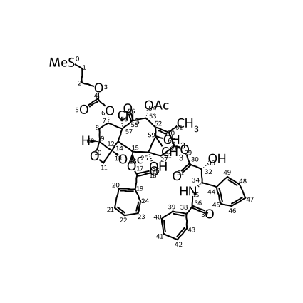 CSCCOC(=O)O[C@H]1C[C@H]2OC[C@@]2(OC(C)=O)C2[C@H](OC(=O)c3ccccc3)[C@]3(O)C[C@H](OC(=O)[C@H](O)[C@@H](NC(=O)c4ccccc4)c4ccccc4)C(C)=C([C@@H](OC(C)=O)C(=O)[C@@]21C)C3(C)C